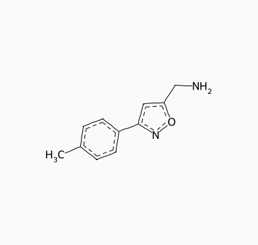 Cc1ccc(-c2cc(CN)on2)cc1